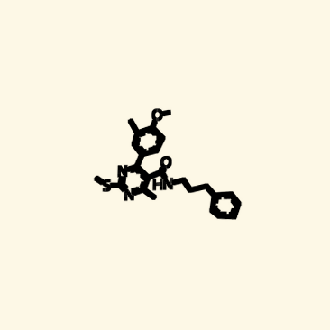 COc1ccc(-c2nc(SC)nc(C)c2C(=O)NCCCc2ccccc2)cc1C